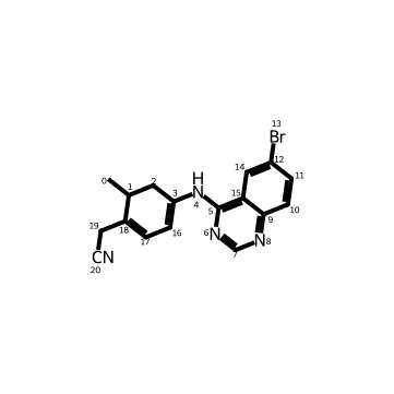 CC1CC(Nc2ncnc3ccc(Br)cc23)=CC=C1CC#N